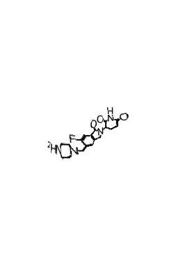 [2H]N1CCN(Cc2cc3c(cc2F)C(=O)N(C2CCC(=O)NC2=O)C3)CC1